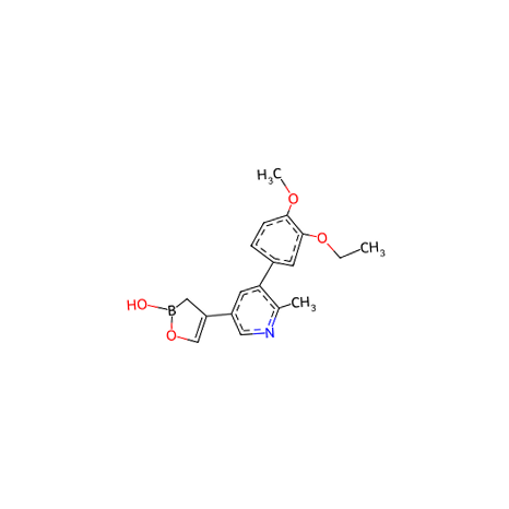 CCOc1cc(-c2cc(C3=COB(O)C3)cnc2C)ccc1OC